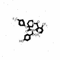 C[C@@H](NC(=O)C1(Oc2ccc(C(F)(F)F)cc2)CCCN(C(=O)c2cnccc2C(F)(F)F)C1)c1ccc(O)cc1